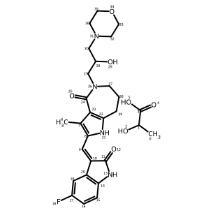 CC(O)C(=O)O.Cc1c(C=C2C(=O)Nc3ccc(F)cc32)[nH]c2c1C(=O)N(CC(O)CN1CCOCC1)CCC2